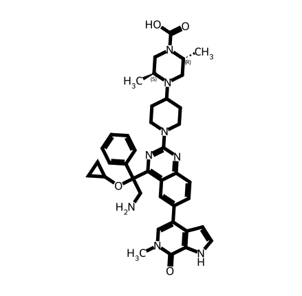 C[C@@H]1CN(C2CCN(c3nc(C(CN)(OC4CC4)c4ccccc4)c4cc(-c5cn(C)c(=O)c6[nH]ccc56)ccc4n3)CC2)[C@@H](C)CN1C(=O)O